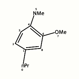 CCCc1ccc(NC)c(OC)c1